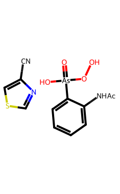 CC(=O)Nc1ccccc1[As](=O)(O)OO.N#Cc1cscn1